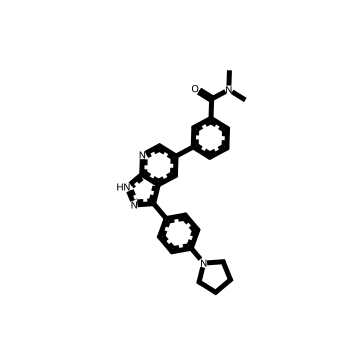 CN(C)C(=O)c1cccc(-c2cnc3[nH]nc(-c4ccc(N5CCCC5)cc4)c3c2)c1